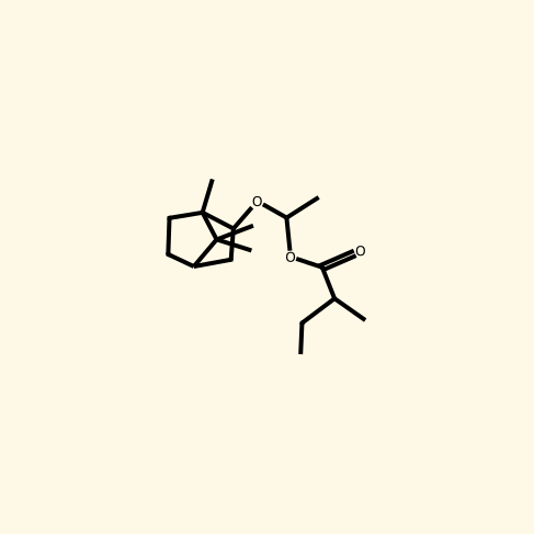 CCC(C)C(=O)OC(C)OC1CC2CCC1(C)C2(C)C